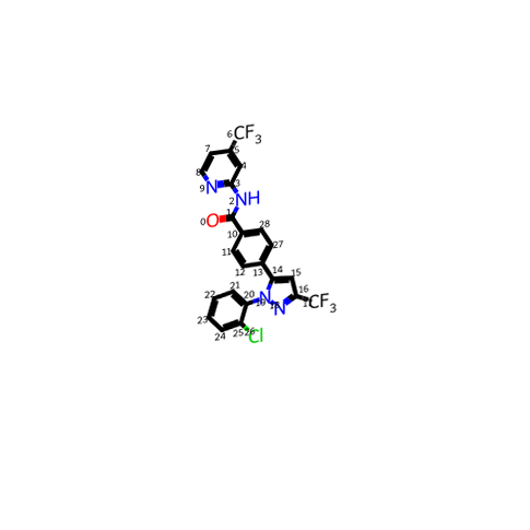 O=C(Nc1cc(C(F)(F)F)ccn1)c1ccc(-c2cc(C(F)(F)F)nn2-c2ccccc2Cl)cc1